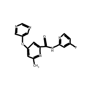 Cc1cc(Oc2cncnc2)cc(C(=O)Nc2cc(F)ccn2)n1